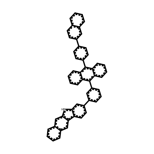 c1cc(-c2ccc3c(c2)[nH]c2cc4ccccc4cc23)cc(-c2c3ccccc3c(-c3ccc(-c4ccc5ccccc5c4)cc3)c3ccccc23)c1